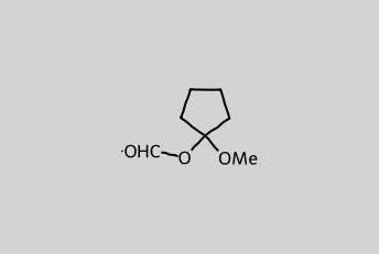 COC1(O[C]=O)CCCC1